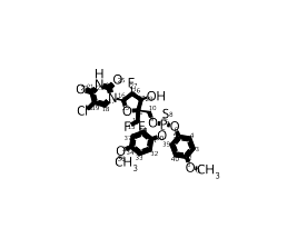 COc1ccc(OP(=S)(OC[C@@]2(C(F)F)O[C@@H](n3cc(Cl)c(=O)[nH]c3=O)[C@H](F)[C@H]2O)Oc2ccc(OC)cc2)cc1